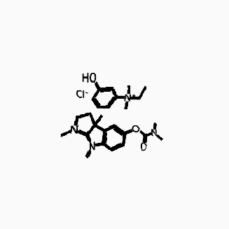 CC[N+](C)(C)c1cccc(O)c1.CN(C)C(=O)Oc1ccc2c(c1)C1(C)CCN(C)C1N2C.[Cl-]